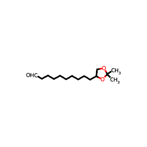 CC1(C)OCC(CCCCCCCCCC=O)O1